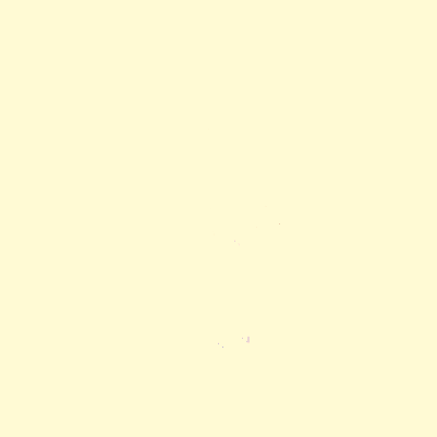 O=C(c1ccc(-c2ccccc2F)cc1)N(C1CC1)C1CCc2[nH]ncc2C1